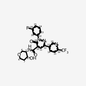 O=C(N[C@H]1COCC[C@H]1O)c1cc(-c2ccc(C(F)(F)F)nc2)nn(-c2cccc(F)c2)c1=O